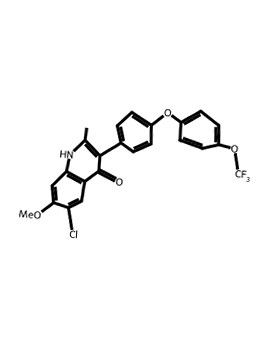 COc1cc2[nH]c(C)c(-c3ccc(Oc4ccc(OC(F)(F)F)cc4)cc3)c(=O)c2cc1Cl